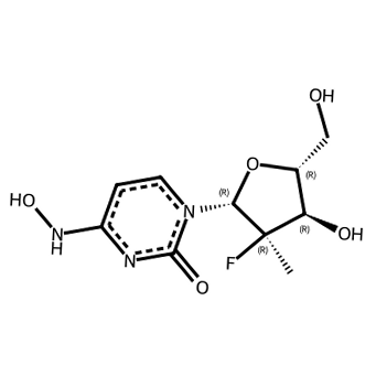 C[C@@]1(F)[C@H](O)[C@@H](CO)O[C@H]1n1ccc(NO)nc1=O